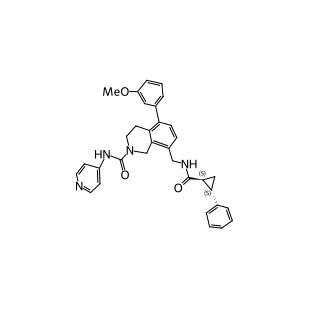 COc1cccc(-c2ccc(CNC(=O)[C@H]3C[C@@H]3c3ccccc3)c3c2CCN(C(=O)Nc2ccncc2)C3)c1